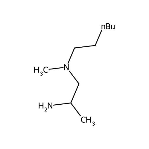 CCCCCCN(C)CC(C)N